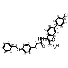 O=C(CCc1ccc(OCc2ccccc2)cc1)Nc1c(C(=O)O)oc2cc(-c3ccc(Cl)cc3)ccc12